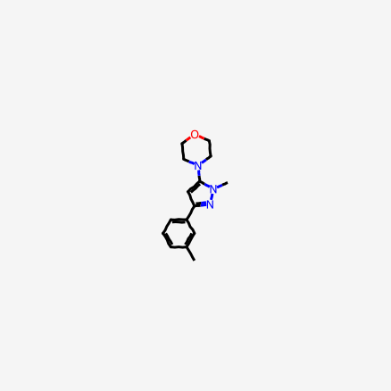 Cc1cccc(-c2cc(N3CCOCC3)n(C)n2)c1